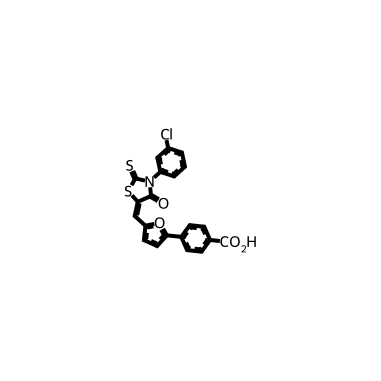 O=C(O)c1ccc(-c2ccc(C=C3SC(=S)N(c4cccc(Cl)c4)C3=O)o2)cc1